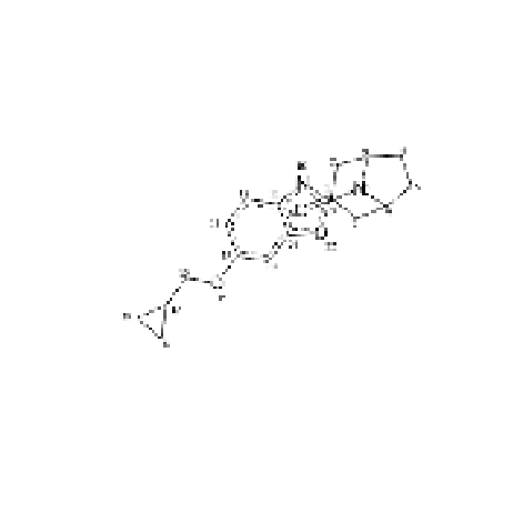 O=C1CC2CCC(C1)N2c1nc2ccc(OCC3CC3)cc2o1